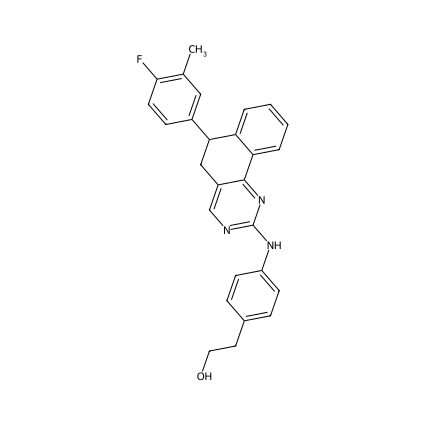 Cc1cc(C2Cc3cnc(Nc4ccc(CCO)cc4)nc3-c3ccccc32)ccc1F